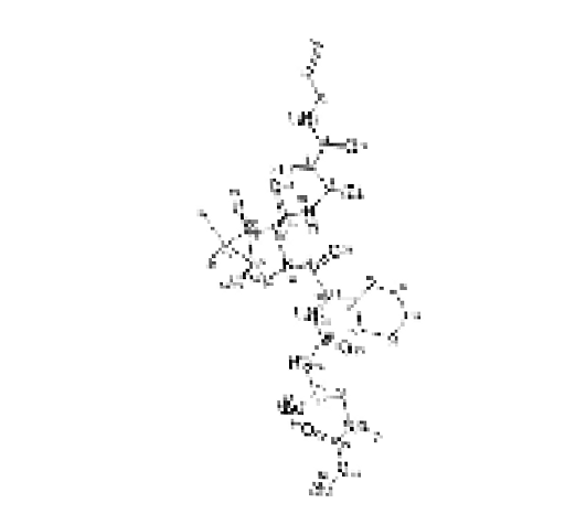 C=CCNC(=O)C(=O)C(CC)NC(=O)[C@@H]1[C@@H]2[C@H](CN1C(=O)[C@@H](NC(=O)N[C@H](CN(C)C(=O)OC(C)(C)C)C(C)(C)C)C1CCCCC1)C2(C)C